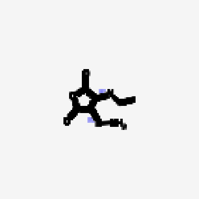 C=C/N=c1/c(=O)oc(=O)/c1=N/N